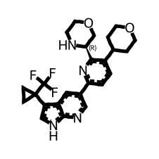 FC(F)(F)C1(c2c[nH]c3ncc(-c4ccc(C5CCOCC5)c([C@@H]5COCCN5)n4)cc23)CC1